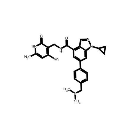 CCCc1cc(C)[nH]c(=O)c1CNC(=O)c1cc(-c2ccc(CN(C)C)cc2)cc2c1cnn2C1CC1